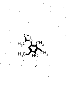 CCc1cc(OC(C)C)c(C)c(CC)c1O